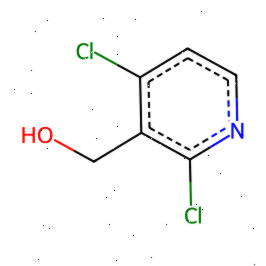 OCc1c(Cl)ccnc1Cl